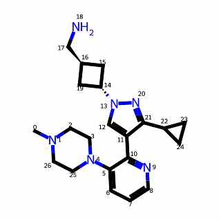 CN1CCN(c2cccnc2-c2cn([C@H]3C[C@H](CN)C3)nc2C2CC2)CC1